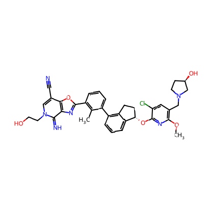 COc1nc(O[C@H]2CCc3c(-c4cccc(-c5nc6c(=N)n(CCO)cc(C#N)c6o5)c4C)cccc32)c(Cl)cc1CN1CC[C@@H](O)C1